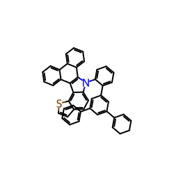 C1=CC(c2cc(-c3ccccc3)cc(-c3ccccc3-n3c4ccc5ccsc5c4c4c5ccccc5c5ccccc5c43)c2)=CCC1